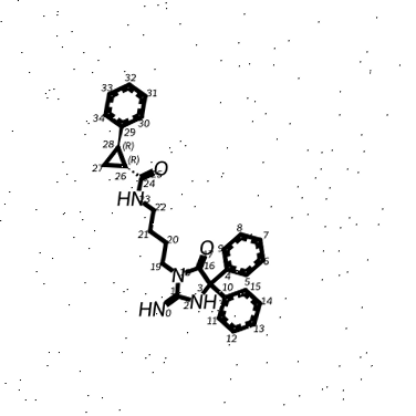 N=C1NC(c2ccccc2)(c2ccccc2)C(=O)N1CCCCNC(=O)[C@@H]1C[C@H]1c1ccccc1